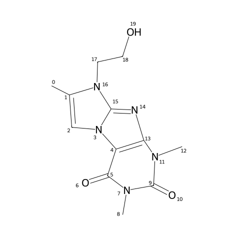 Cc1cn2c3c(=O)n(C)c(=O)n(C)c3nc2n1CCO